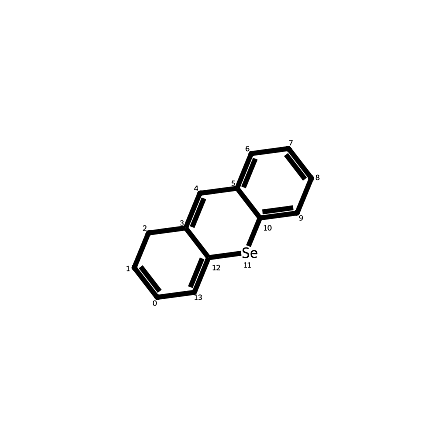 C1=CCC2=Cc3ccccc3[Se]C2=C1